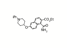 CCOC(=O)c1ccc2cc(OC3CCN(C(C)C)CC3)ccc2c1C(N)=O